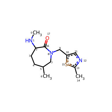 CNC1CCC(C)CN(Cc2cnc(C)s2)C1=O